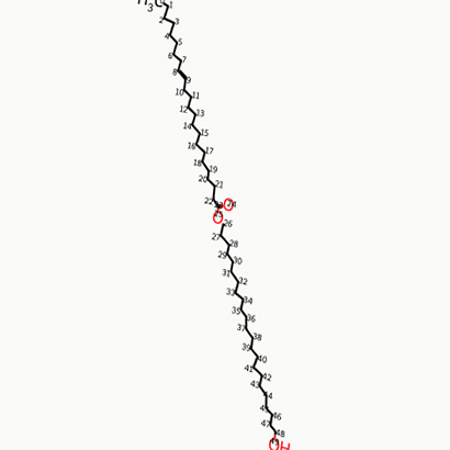 CCCCCCCCC=CCCCCCCCCCCCCCC(=O)OCCCCCCCCCCCCCCCCCCCCCCCO